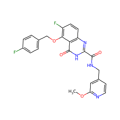 COc1cc(CNC(=O)c2nc3ccc(F)c(OCc4ccc(F)cc4)c3c(=O)[nH]2)ccn1